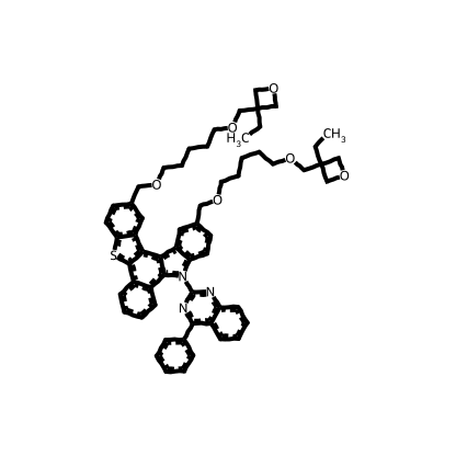 CCC1(COCCCCCOCc2ccc3sc4c5ccccc5c5c(c6cc(COCCCCCOCC7(CC)COC7)ccc6n5-c5nc(-c6ccccc6)c6ccccc6n5)c4c3c2)COC1